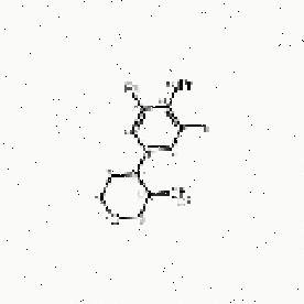 Cc1cc(N2CCOC[C@@H]2C(F)(F)F)cc(F)c1C(C)C